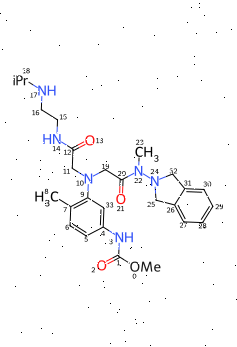 COC(=O)Nc1ccc(C)c(N(CC(=O)NCCNC(C)C)CC(=O)N(C)N2Cc3ccccc3C2)c1